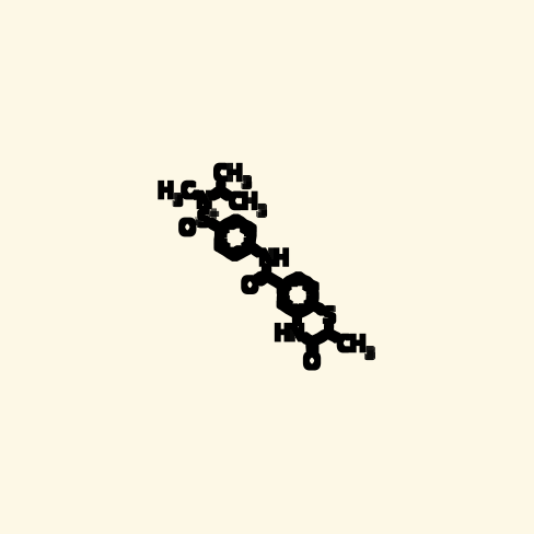 CC1Sc2ccc(C(=O)Nc3ccc([S+]([O-])N(C)C(C)C)cc3)cc2NC1=O